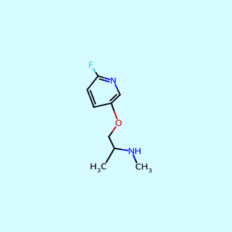 CNC(C)COc1ccc(F)nc1